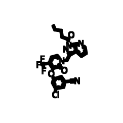 CCCCC(=O)n1nc(Cn2ccc(C(F)(F)F)c(Oc3cc(Cl)cc(C#N)c3)c2=O)c2cccnc21